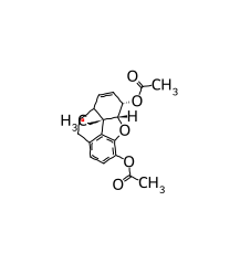 CC[C@]12c3c4ccc(OC(C)=O)c3O[C@H]1[C@@H](OC(C)=O)C=CC2CC4